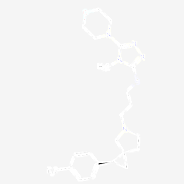 Cn1c(SCCCN2CC[C@@]3(C[C@H]3c3ccc(C(F)(F)F)cc3)C2)nnc1N1CCOCC1